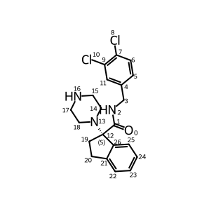 O=C(NCc1ccc(Cl)c(Cl)c1)[C@]1(N2CCNCC2)CCc2ccccc21